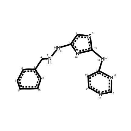 c1ccc(CNNc2csc(Nc3ccncn3)n2)cc1